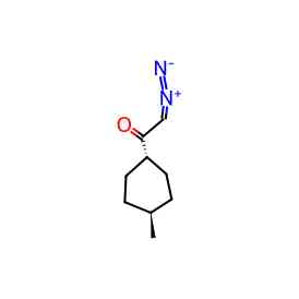 C[C@H]1CC[C@H](C(=O)C=[N+]=[N-])CC1